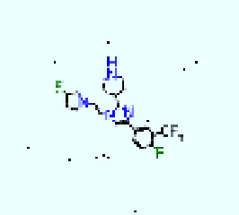 Fc1ccc(-c2cn(CCN3CCC(F)C3)c(C3CCNCC3)n2)cc1C(F)(F)F